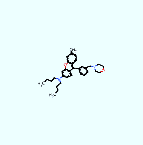 C=c1ccc2c(c1)Oc1cc(N(CCCC)CCCC)ccc1C=2c1cccc(CN2CCOCC2)c1